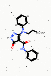 CCCCCCCCCCCCN(C1=C(C(=O)Nc2ccccc2)C(=O)N=N1)c1ccccc1